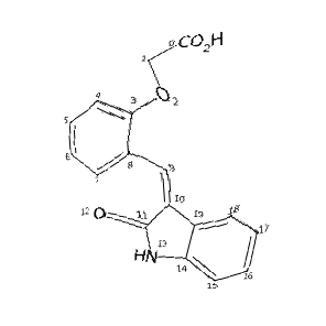 O=C(O)COc1ccccc1C=C1C(=O)Nc2ccccc21